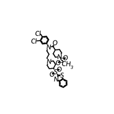 CS(=O)(=O)N1CCC(C(=O)N(CCCN2CCC(S(=O)(=O)c3nc4ccccc4s3)CC2)c2ccc(Cl)c(Cl)c2)CC1